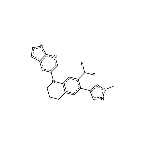 Cn1cc(-c2cc3c(cc2C(F)F)N(c2cnc4[nH]ccc4n2)CCC3)cn1